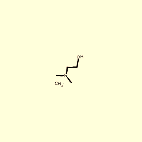 CN(C)CCO.[CH3]